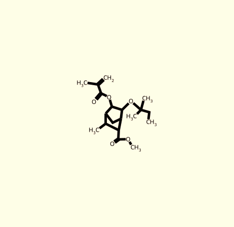 C=C(C)C(=O)OC1C2CC(C1OC(C)(C)CC)C(C(=O)OC)C2C